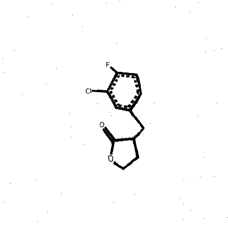 O=C1OCCC1Cc1ccc(F)c(Cl)c1